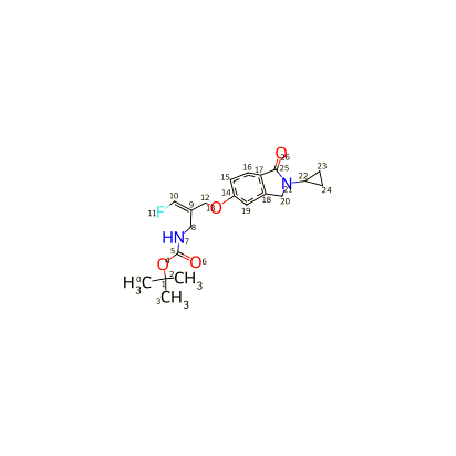 CC(C)(C)OC(=O)NC/C(=C\F)COc1ccc2c(c1)CN(C1CC1)C2=O